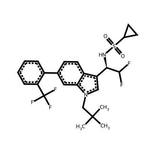 CC(C)(C)Cn1cc([C@@H](NS(=O)(=O)C2CC2)C(F)F)c2ccc(-c3ccccc3C(F)(F)F)cc21